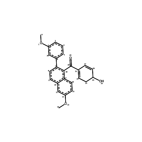 COc1cccc(-c2ccc3cc(OC)ccc3c2C(=O)C2=CCC(O)C=C2)c1